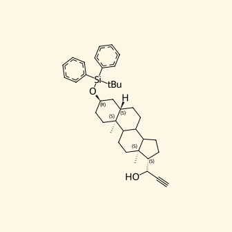 C#CC(O)[C@H]1CCC2C3CC[C@H]4C[C@H](O[Si](c5ccccc5)(c5ccccc5)C(C)(C)C)CC[C@]4(C)C3CC[C@@]21C